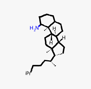 CC(C)CCC[C@@H](C)[C@H]1CC[C@H]2[C@@H]3CCC4CCCC(N)[C@]4(C)[C@H]3CC[C@]12C